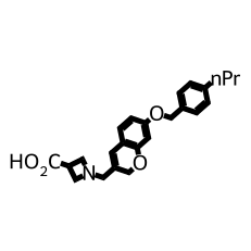 CCCc1ccc(COc2ccc3c(c2)OCC(CN2CC(C(=O)O)C2)=C3)cc1